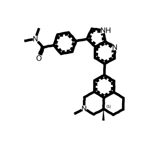 CN1Cc2cc(-c3cnc4[nH]cc(-c5ccc(C(=O)N(C)C)cc5)c4c3)cc3c2[C@](C)(CCC3)C1